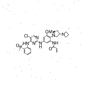 C=CC(=O)Nc1cc(Nc2ncc(Cl)c(Nc3ccccc3P(C)(C)=O)n2)cc(OC)c1N1CCC(N2CCC2)C1